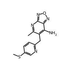 CSc1ccc(Cc2c(C)nc3nonc3c2N)nc1